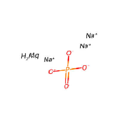 O=P([O-])([O-])[O-].[MgH2].[Na+].[Na+].[Na+]